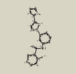 O=C(Nc1cccc(-c2nnc(-c3ccco3)o2)c1)c1cnccc1F